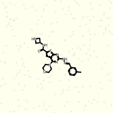 Cc1cccc(/C=N/Nc2nc(N3CCOCC3)c3cc(C(=O)NC4CNC4)sc3n2)c1